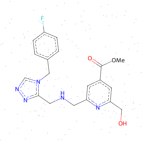 COC(=O)c1cc(CO)nc(CNCc2nncn2Cc2ccc(F)cc2)c1